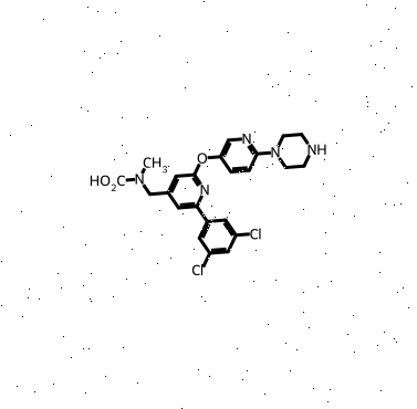 CN(Cc1cc(Oc2ccc(N3CCNCC3)nc2)nc(-c2cc(Cl)cc(Cl)c2)c1)C(=O)O